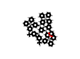 CC(C)(C)c1ccc2c(c1)c1cc(C(C)(C)C)ccc1n2-c1cc2c3c(c1)N(c1ccc([Si](c4ccccc4)(c4ccccc4)c4ccccc4)cc1)c1c(cccc1-c1ccccc1)B3c1cc([Si](c3ccccc3)(c3ccccc3)c3ccccc3)ccc1N2c1ccc([Si](c2ccccc2)(c2ccccc2)c2ccccc2)cc1